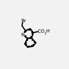 O=C(O)c1cc(CBr)nc2ccccc12